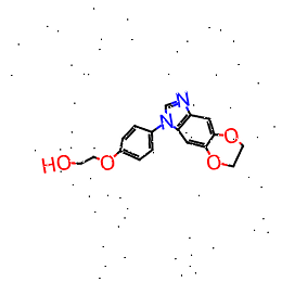 OCCOc1ccc(-n2cnc3cc4c(cc32)OCCO4)cc1